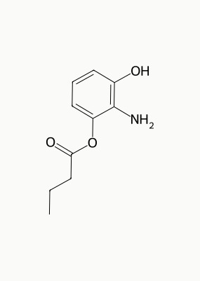 CCCC(=O)Oc1cccc(O)c1N